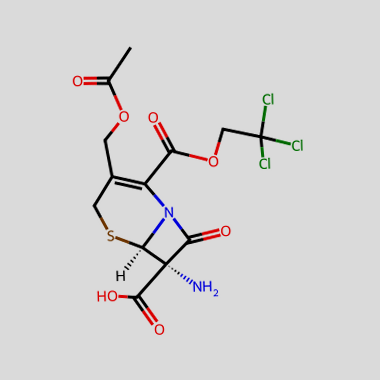 CC(=O)OCC1=C(C(=O)OCC(Cl)(Cl)Cl)N2C(=O)[C@@](N)(C(=O)O)[C@H]2SC1